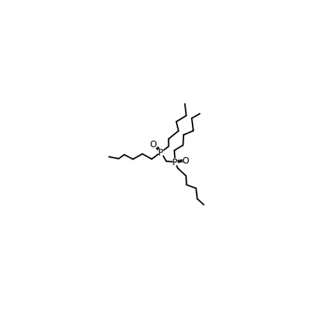 CCCCCCP(=O)(CCCCCC)CP(=O)(CCCCCC)CCCCCC